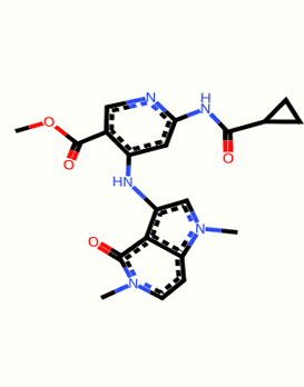 COC(=O)c1cnc(NC(=O)C2CC2)cc1Nc1cn(C)c2ccn(C)c(=O)c12